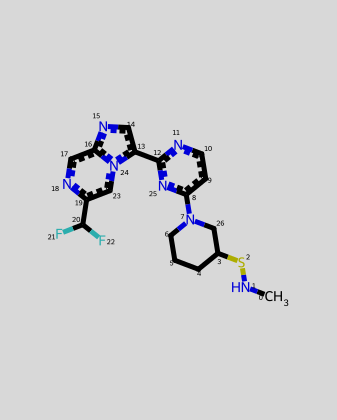 CNSC1CCCN(c2ccnc(-c3cnc4cnc(C(F)F)cn34)n2)C1